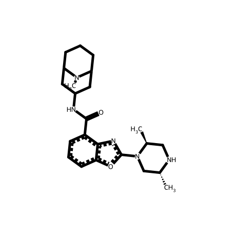 C[C@@H]1CN(c2nc3c(C(=O)NC4CC5CCCC(C4)N5C)cccc3o2)[C@@H](C)CN1